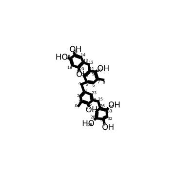 Cc1cc(Cc2cc(C)c(O)c(Cc3cc(O)c(O)cc3O)c2)cc(Cc2cc(O)c(O)cc2O)c1O